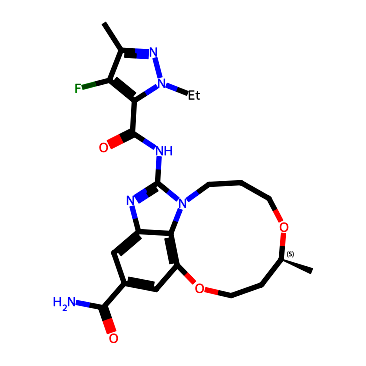 CCn1nc(C)c(F)c1C(=O)Nc1nc2cc(C(N)=O)cc3c2n1CCCO[C@@H](C)CCO3